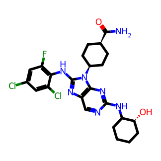 NC(=O)[C@H]1CC[C@@H](n2c(Nc3c(F)cc(Cl)cc3Cl)nc3cnc(NC4CCCC[C@H]4O)nc32)CC1